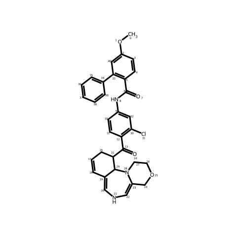 COc1ccc(C(=O)Nc2ccc(C(=O)C3CC=CC4=CNC=C5COCCN5C43)c(Cl)c2)c(-c2ccccc2)c1